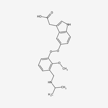 COc1c(CNC(C)C)cccc1OOc1ccc2[nH]cc(CC(=O)O)c2c1